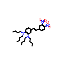 CCCCN(CCCC)c1ccc(C=Cc2ccc([N+](=O)[O-])c([N+](=O)[O-])c2)cc1N(CCCC)CCCC